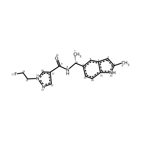 Cc1cc2cc([C@@H](C)NC(=O)c3cnn(CCF)c3)ccc2[nH]1